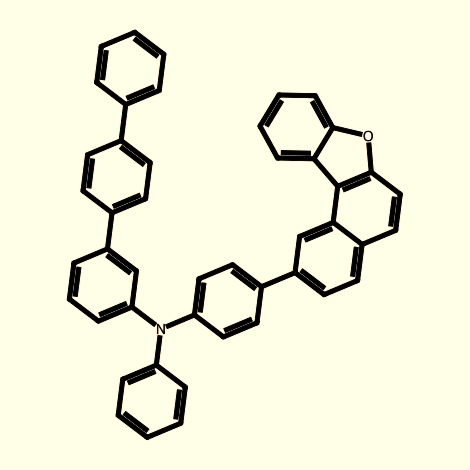 c1ccc(-c2ccc(-c3cccc(N(c4ccccc4)c4ccc(-c5ccc6ccc7oc8ccccc8c7c6c5)cc4)c3)cc2)cc1